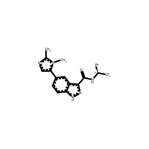 Cc1ncc(-c2ccc3[nH]nc(C(=O)N[C@@H](C(C)C)C(F)(F)F)c3c2)n1C